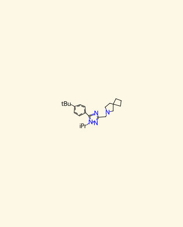 CC(C)n1nc(CN2CCC3(CCC3)C2)nc1-c1ccc(C(C)(C)C)cc1